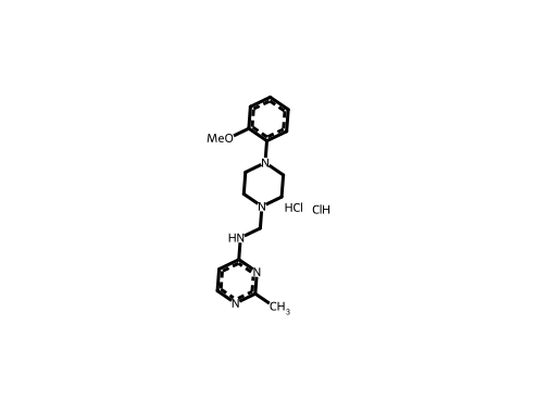 COc1ccccc1N1CCN(CNc2ccnc(C)n2)CC1.Cl.Cl